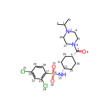 CC(C)N1CCN(C(=O)[C@H]2CC[C@@H](NS(=O)(=O)c3ccc(Cl)cc3Cl)CC2)CC1